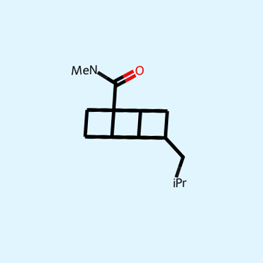 CNC(=O)C12C3C4C1C1C2C3C41CC(C)C